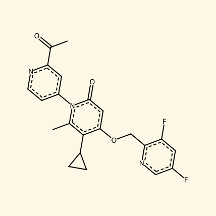 CC(=O)c1cc(-n2c(C)c(C3CC3)c(OCc3ncc(F)cc3F)cc2=O)ccn1